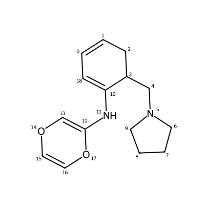 C1=CCC(CN2CCCC2)C(NC2=COC=CO2)=C1